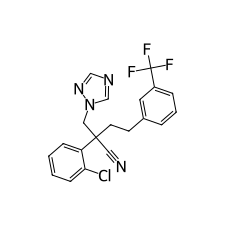 N#CC(CCc1cccc(C(F)(F)F)c1)(Cn1cncn1)c1ccccc1Cl